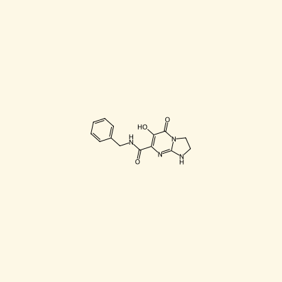 O=C(NCc1ccccc1)c1nc2n(c(=O)c1O)CCN2